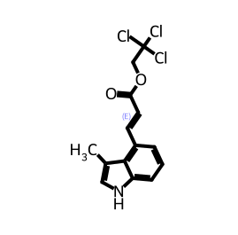 Cc1c[nH]c2cccc(/C=C/C(=O)OCC(Cl)(Cl)Cl)c12